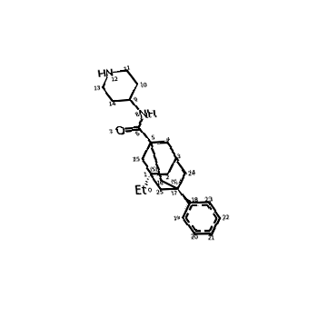 CC[C@@]12CC3CC(C(=O)NC4CCNCC4)(C1)C[C@](c1ccccc1)(C3)C2